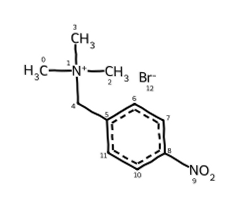 C[N+](C)(C)Cc1ccc([N+](=O)[O-])cc1.[Br-]